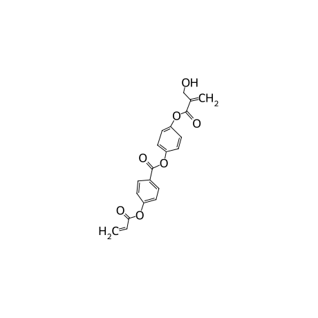 C=CC(=O)Oc1ccc(C(=O)Oc2ccc(OC(=O)C(=C)CO)cc2)cc1